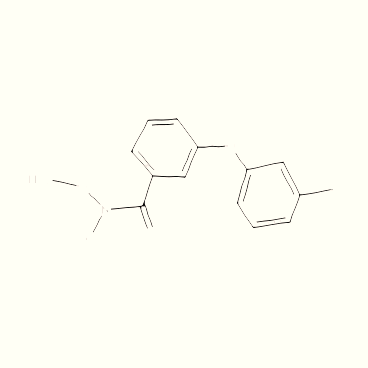 CON(C)C(=O)c1cccc(Oc2cccc(F)c2)c1